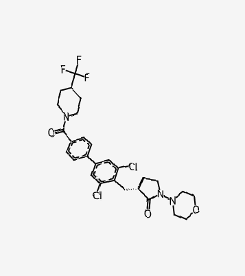 O=C(c1ccc(-c2cc(Cl)c(C[C@@H]3CCN(N4CCOCC4)C3=O)c(Cl)c2)cc1)N1CCC(C(F)(F)F)CC1